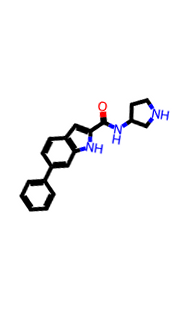 O=C(NC1CCNC1)c1cc2ccc(-c3ccccc3)cc2[nH]1